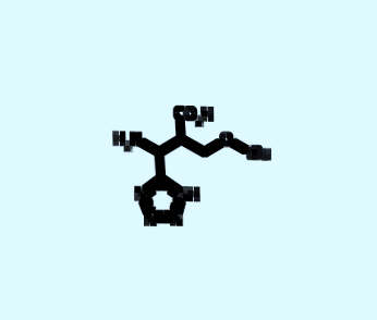 CC(C)(C)OCC(C(=O)O)C(N)c1nnn[nH]1